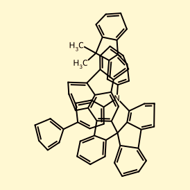 CC1(C)c2ccccc2-c2ccc(N(c3ccc(-c4ccccc4)cc3)c3cccc4c3C3(c5ccccc5-4)c4ccccc4-c4c3cc3c5c(cccc45)-c4ccccc4-3)cc21